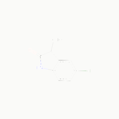 O=CC1C(=O)Nc2ccc(Cl)cc21